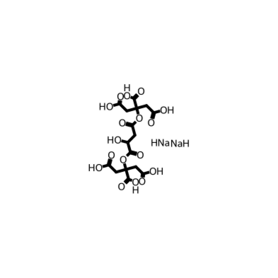 O=C(O)CC(CC(=O)O)(OC(=O)CC(O)C(=O)OC(CC(=O)O)(CC(=O)O)C(=O)O)C(=O)O.[NaH].[NaH]